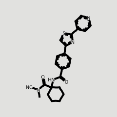 CN(C#N)C(=O)C1(NC(=O)c2ccc(-c3csc(-c4ccncc4)n3)cc2)CCCCC1